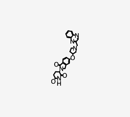 O=C1CCC(N2Cc3cc(OC4CCN(Cc5cnc6ccccc6n5)C4)ccc3C2=O)C(=O)N1